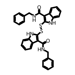 O=C(NCc1ccccc1)c1c(SSc2[nH]c3ccccc3c2C(=O)NCc2ccccc2)[nH]c2ccccc12